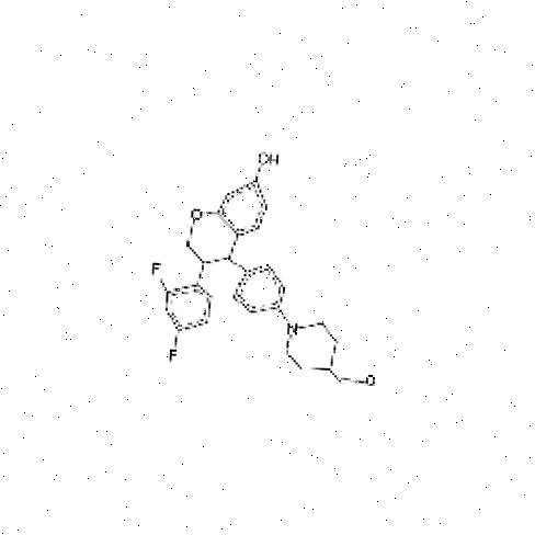 O=CC1CCN(c2ccc(C3c4ccc(O)cc4OCC3c3ccc(F)cc3F)cc2)CC1